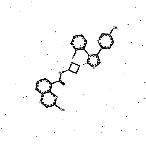 Cc1ccc(-c2nnc([C@H]3C[C@H](NC(=O)c4cccc5ncc(O)nc45)C3)n2-c2ccccc2F)nc1